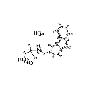 CC(CO)(CO)NCc1ccc2sc3ccccc3c2c1.Cl